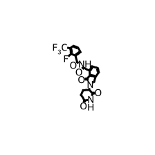 O=C1CCC(N2Cc3cccc(C(=O)NC(=O)c4cccc(C(F)(F)F)c4F)c3C2=O)C(=O)N1